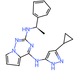 C[C@@H](Nc1nc(Nc2cc(C3CC3)n[nH]2)c2cccn2n1)c1ccccc1